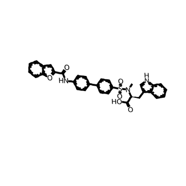 CN([C@@H](Cc1c[nH]c2ccccc12)C(=O)O)S(=O)(=O)c1ccc(-c2ccc(NC(=O)c3cc4ccccc4o3)cc2)cc1